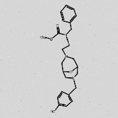 CC(C)(C)OC(=O)N(CCN1CC2CN(Cc3ccc(C#N)cc3)CC(C1)O2)Cc1ccccc1